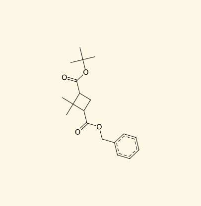 CC(C)(C)OC(=O)C1CC(C(=O)OCc2ccccc2)C1(C)C